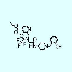 CCOC(=O)c1ccnc(CN(CC(=O)NC2CCN(Cc3ccccc3OC)CC2)C(=O)C(F)(F)F)c1